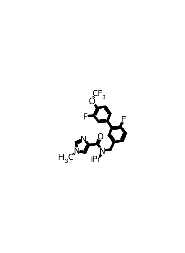 CC(C)N(Cc1ccc(F)c(-c2ccc(OC(F)(F)F)c(F)c2)c1)C(=O)c1cn(C)cn1